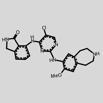 COc1cc2c(cc1Nc1ncc(Cl)c(Nc3cccc4c3C(=O)NC4)n1)CCNCC2